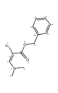 CC(=O)/C(=C/N(C)C)C(=O)OCc1ccccc1